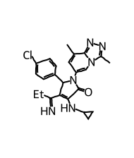 CCC(=N)C1=C(NC2CC2)C(=O)N(c2cc(C)c3nnc(C)n3c2)C1c1ccc(Cl)cc1